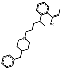 C/C=C(/C(C)=O)c1ccccc1C(C)CCCN1CCC(Cc2ccccc2)CC1